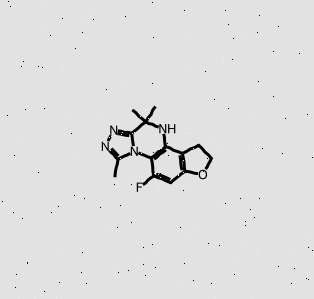 Cc1nnc2n1-c1c(F)cc3c(c1NC2(C)C)CCO3